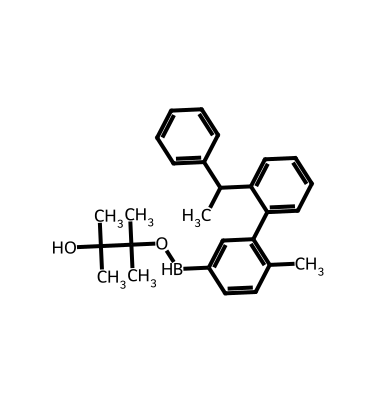 Cc1ccc(BOC(C)(C)C(C)(C)O)cc1-c1ccccc1C(C)c1ccccc1